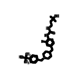 CC(C)(O)CCNC(=O)Nc1ccc(CC2CCN(Cc3ccc(C(O)(C(F)(F)F)C(F)(F)F)cc3)CC2)cc1F